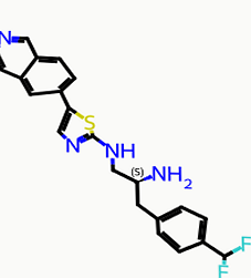 N[C@H](CNc1ncc(-c2ccc3cnccc3c2)s1)Cc1ccc(C(F)F)cc1